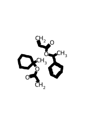 C=CC(=O)OC(C)c1ccccc1.C=CC(=O)OC1(C)CCCCC1